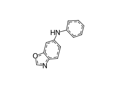 c1ccc(Nc2ccc3ncoc3c2)cc1